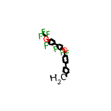 C=CC1CCC(C2CCC(C(F)(F)Oc3ccc(-c4ccc(OC(F)=C(F)F)c(F)c4)c(F)c3)CC2)CC1